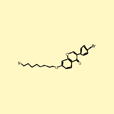 O=c1c(-c2ccc(Br)cc2)coc2cc(OCCCCCCCCBr)ccc12